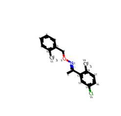 C/C(=N\OCc1ccccc1C(F)(F)F)c1cc(Cl)ccc1C(F)(F)F